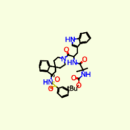 CC(C)(C)OC(=O)NC(C)(C)C(=O)NC(Cc1c[nH]c2ccccc12)C(=O)N1CCC2(CC1)C[C@@H](NS(=O)(=O)c1ccccc1)c1ccccc12